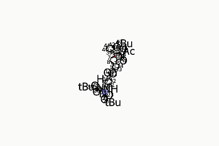 CC(=O)CN(C(=O)c1cccc2cc(OC(=O)c3ccc(N/C(=N\C(=O)OC(C)(C)C)NC(=O)OC(C)(C)C)cc3)ccc12)[C@@H](Cc1ccccc1)C(=O)OC(C)(C)C